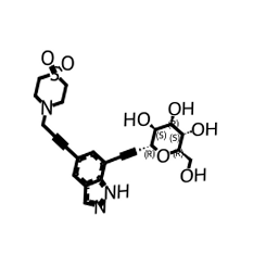 O=S1(=O)CCN(CC#Cc2cc(C#C[C@H]3O[C@H](CO)[C@@H](O)[C@H](O)[C@@H]3O)c3[nH]ncc3c2)CC1